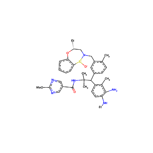 CCNc1ccc(C(c2ccc(C)c(CN3C[C@@H](CC)Oc4ccccc4[S+]3[O-])c2)C(C)(C)NC(=O)c2cnc(OC)nc2)c(C)c1N